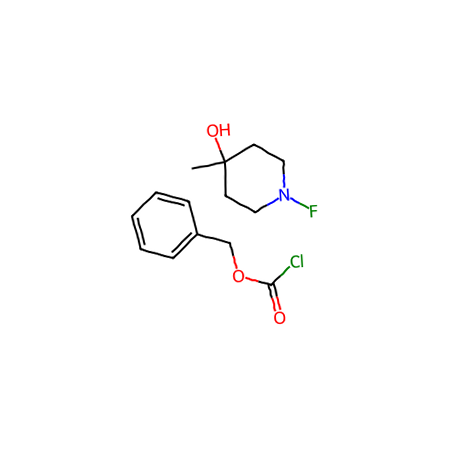 CC1(O)CCN(F)CC1.O=C(Cl)OCc1ccccc1